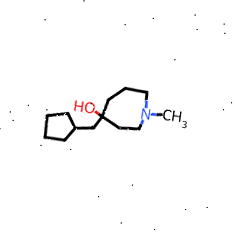 CN1CCCC(O)(CC2CCCC2)CC1